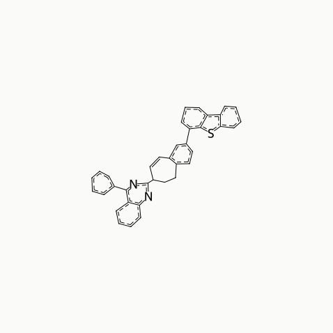 C1=CC(c2nc(-c3ccccc3)c3ccccc3n2)CCc2ccc(-c3cccc4c3sc3ccccc34)cc21